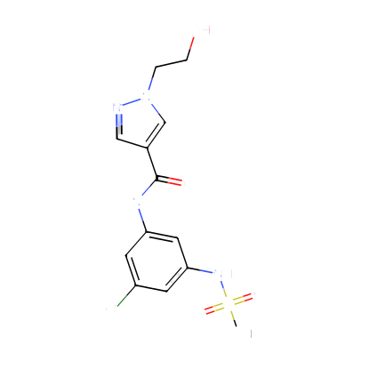 CS(=O)(=O)Nc1cc(Cl)cc(NC(=O)c2cnn(CCO)c2)c1